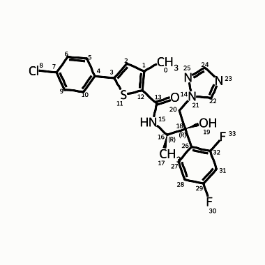 Cc1cc(-c2ccc(Cl)cc2)sc1C(=O)N[C@H](C)[C@](O)(Cn1cncn1)c1ccc(F)cc1F